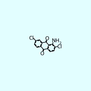 Nc1c(Cl)ccc2c1C(=O)c1cc(Cl)ccc1C2=O